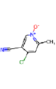 Cc1cc(Cl)c(C#N)c[n+]1[O-]